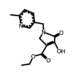 CCOC(=O)C1=C(O)C(=O)N(Cc2ccc(C)nc2)C1